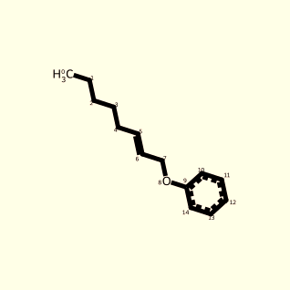 CCCCCC=CCOc1cc[c]cc1